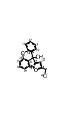 CC1(c2cc(CCl)on2)c2ccccc2Oc2ccccc21